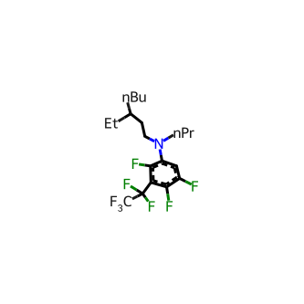 CCCCC(CC)CCN(CCC)c1cc(F)c(F)c(C(F)(F)C(F)(F)F)c1F